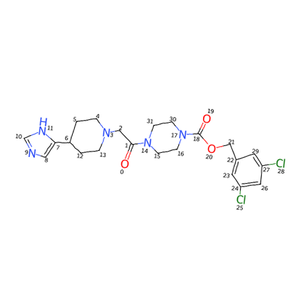 O=C(CN1CCC(c2cnc[nH]2)CC1)N1CCN(C(=O)OCc2cc(Cl)cc(Cl)c2)CC1